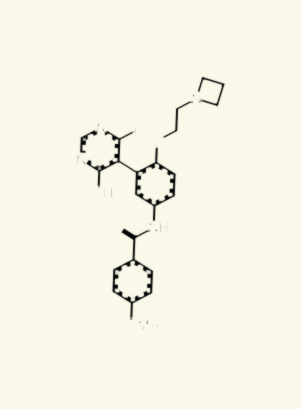 COc1ccc(C(=O)Nc2ccc(OCCN3CCC3)c(-c3c(C)ncnc3C)c2)cc1